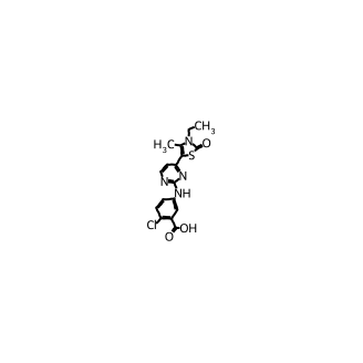 CCn1c(C)c(-c2ccnc(Nc3ccc(Cl)c(C(=O)O)c3)n2)sc1=O